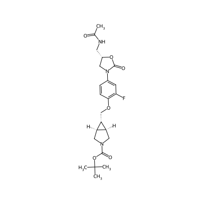 CC(=O)NC[C@H]1CN(c2ccc(OC[C@@H]3[C@H]4CN(C(=O)OC(C)(C)C)C[C@@H]34)c(F)c2)C(=O)O1